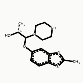 Cc1nc2cc(OC([C@@H](C)O)N3CCNCC3)ccc2s1